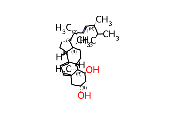 CC(C)[C@@H](C)/C=C/[C@@H](C)[C@H]1CC[C@H]2C3=CC=C4C[C@@H](O)CC(O)[C@]4(C)[C@H]3CC[C@]12C